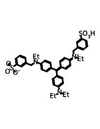 CCN(CC)c1ccc(C(=C2C=CC(=[N+](CC)Cc3cccc(S(=O)(=O)O)c3)C=C2)c2ccc(N(CC)Cc3cccc(S(=O)(=O)[O-])c3)cc2)cc1